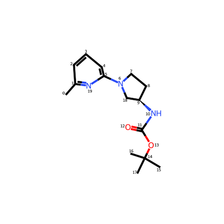 Cc1cccc(N2CC[C@@H](NC(=O)OC(C)(C)C)C2)n1